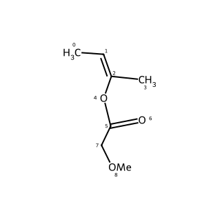 C/C=C(/C)OC(=O)COC